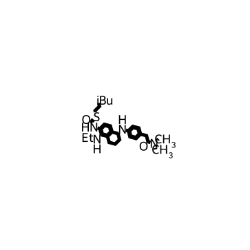 CCNc1c(NC(=O)SCCC(C)CC)ccc2c1CCCC2Nc1ccc(CC(=O)N(C)C)cc1